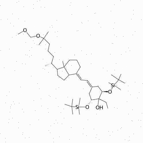 CCC1(O)[C@H](O[Si](C)(C)C(C)(C)C)CC(=C/C=C2\CCCC3(C)C2CCC3[C@H](C)CCCC(C)(C)OCOC)C[C@H]1O[Si](C)(C)C(C)(C)C